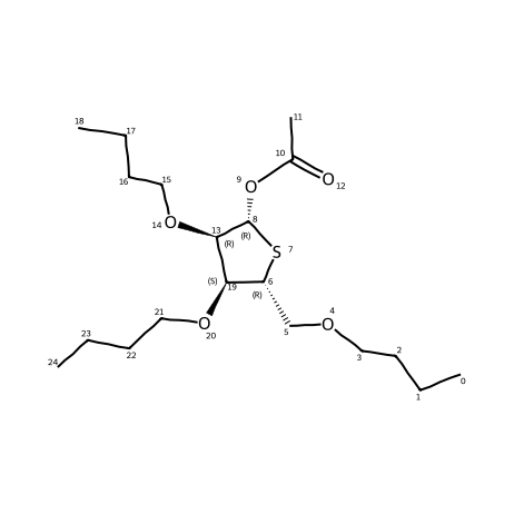 CCCCOC[C@H]1S[C@@H](OC(C)=O)[C@H](OCCCC)[C@@H]1OCCCC